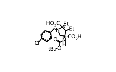 CCC1[C@](CC)(C(=O)O)N(Cc2ccc(Cl)cc2)C[C@@]1(NC(=O)OC(C)(C)C)C(=O)O